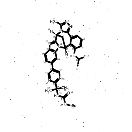 Cc1nnc2n1[C@@H]1C[C@H](c3c(OC(F)F)cccc3-2)n2c1nc1ccc(-c3cnc(C(C)(C)NC(=O)OC(C)(C)C)nc3)cc12